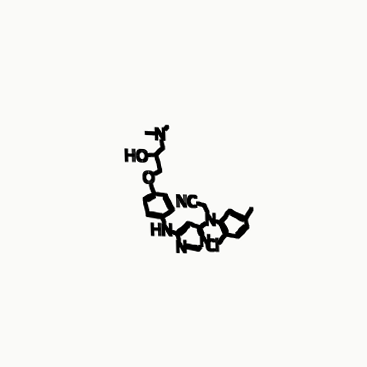 Cc1ccc(Cl)c(N(CC#N)c2cc(Nc3ccc(OCC(O)CN(C)C)cc3)ncn2)c1